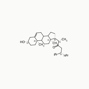 CCC[C@@H](CC(=O)[C@@H](C)[C@H]1CCC2C3CC=C4C[C@@H](O)CC[C@]4(C)C3CC[C@@]21C)C(C)C